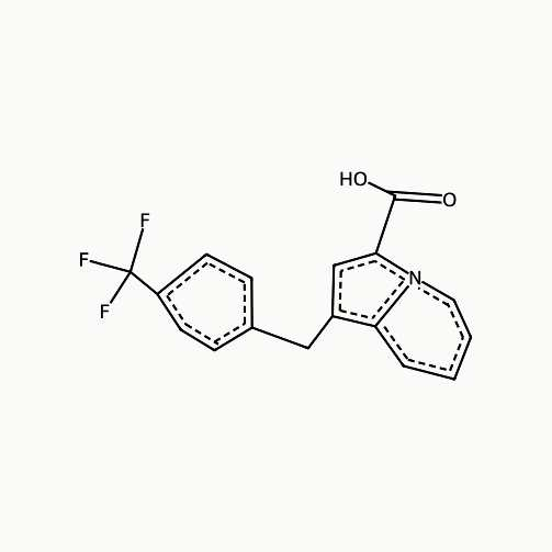 O=C(O)c1cc(Cc2ccc(C(F)(F)F)cc2)c2ccccn12